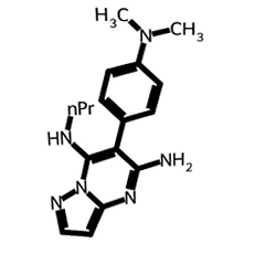 CCCNc1c(-c2ccc(N(C)C)cc2)c(N)nc2ccnn12